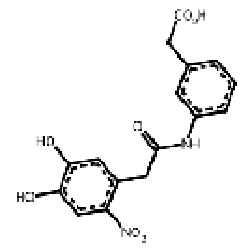 O=C(O)Cc1cccc(NC(=O)Cc2cc(O)c(O)cc2[N+](=O)[O-])c1